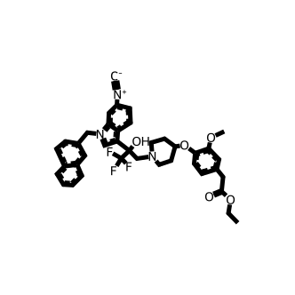 [C-]#[N+]c1ccc2c(C(O)(CN3CCC(Oc4ccc(CC(=O)OCC)cc4OC)CC3)C(F)(F)F)cn(Cc3ccc4ccccc4c3)c2c1